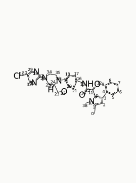 Cc1cc(-c2ccccc2)c(C(=O)C(=O)Nc2ccc3c(c2)OC[C@H]2CN(c4ncc(Cl)cn4)CCN32)n1C